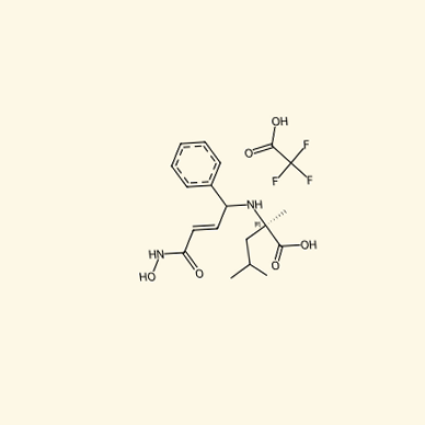 CC(C)C[C@@](C)(NC(C=CC(=O)NO)c1ccccc1)C(=O)O.O=C(O)C(F)(F)F